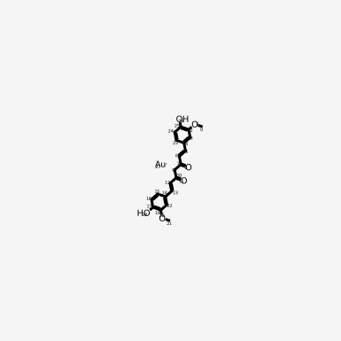 COc1cc(/C=C/C(=O)CC(=O)/C=C/c2ccc(O)c(OC)c2)ccc1O.[Au]